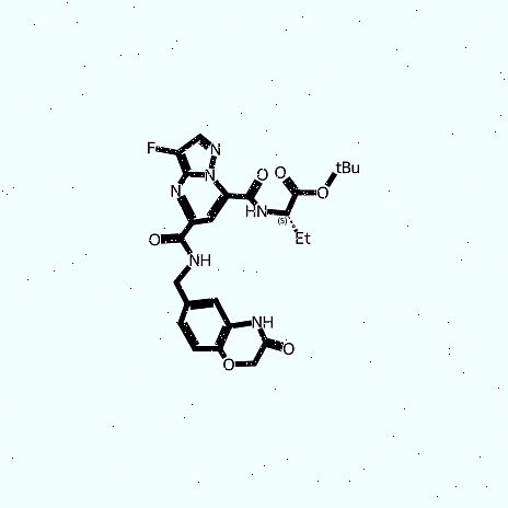 CC[C@H](NC(=O)c1cc(C(=O)NCc2ccc3c(c2)NC(=O)CO3)nc2c(F)cnn12)C(=O)OC(C)(C)C